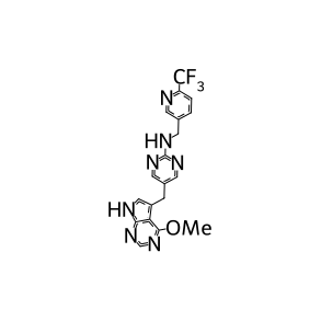 COc1ncnc2[nH]cc(Cc3cnc(NCc4ccc(C(F)(F)F)nc4)nc3)c12